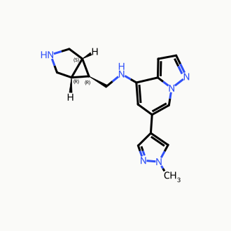 Cn1cc(-c2cc(NC[C@H]3[C@@H]4CNC[C@@H]43)c3ccnn3c2)cn1